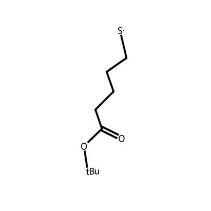 CC(C)(C)OC(=O)CCCC[S]